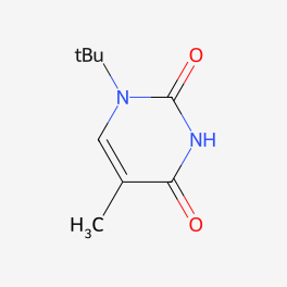 Cc1cn(C(C)(C)C)c(=O)[nH]c1=O